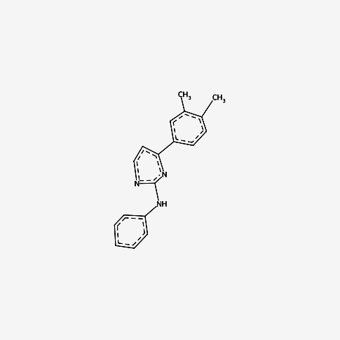 Cc1ccc(-c2ccnc(Nc3ccccc3)n2)cc1C